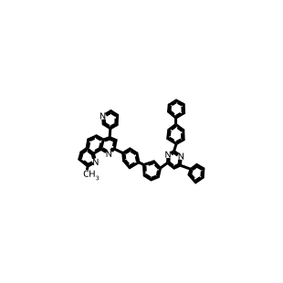 Cc1ccc2ccc3c(-c4cccnc4)cc(-c4ccc(-c5cccc(-c6cc(-c7ccccc7)nc(-c7ccc(-c8ccccc8)cc7)n6)c5)cc4)nc3c2n1